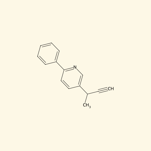 C#CC(C)c1ccc(-c2ccccc2)nc1